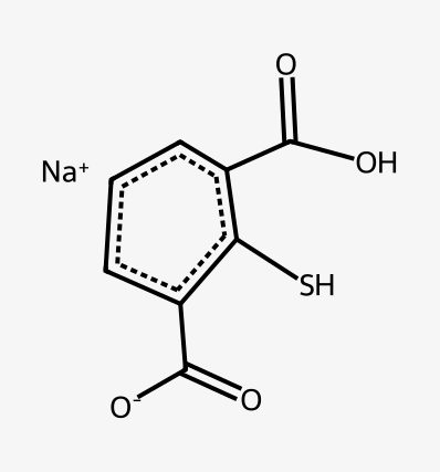 O=C([O-])c1cccc(C(=O)O)c1S.[Na+]